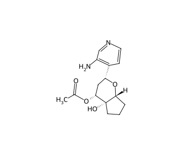 CC(=O)O[C@@H]1C[C@H](c2ccncc2N)O[C@@H]2CCC[C@@]12O